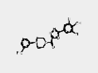 O=C(c1nnc(-c2cc(Cl)c(O)c(Cl)c2)o1)N1CCN(c2cccc(C(F)(F)F)c2)CC1